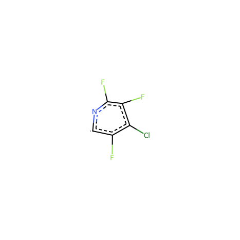 Fc1[c]nc(F)c(F)c1Cl